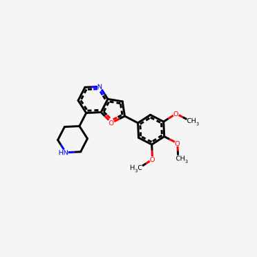 COc1cc(-c2cc3nccc(C4CCNCC4)c3o2)cc(OC)c1OC